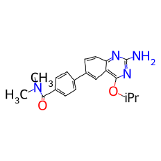 CC(C)Oc1nc(N)nc2ccc(-c3ccc(C(=O)N(C)C)cc3)cc12